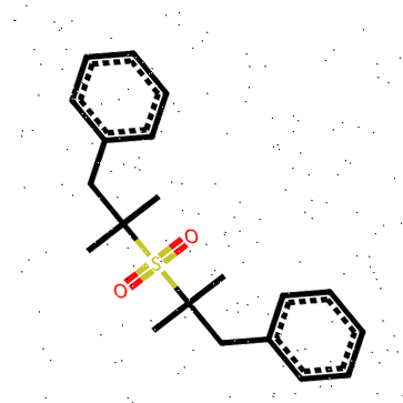 CC(C)(Cc1ccccc1)S(=O)(=O)C(C)(C)Cc1ccccc1